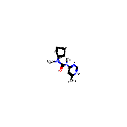 Cc1cc(N(C)C(=O)N(C)c2ccccc2)ncn1